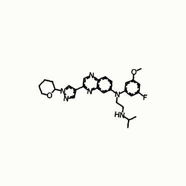 COc1cc(F)cc(N(CCNC(C)C)c2ccc3ncc(-c4cnn(C5CCCCO5)c4)nc3c2)c1